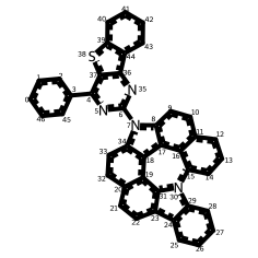 c1ccc(-c2nc(-n3c4ccc5cccc6c5c4c4c5c(ccc7c8ccccc8n6c75)ccc43)nc3c2sc2ccccc23)cc1